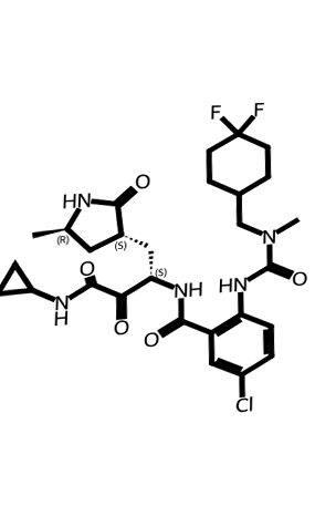 C[C@@H]1C[C@@H](C[C@H](NC(=O)c2cc(Cl)ccc2NC(=O)N(C)CC2CCC(F)(F)CC2)C(=O)C(=O)NC2CC2)C(=O)N1